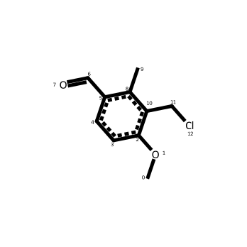 COc1ccc(C=O)c(C)c1CCl